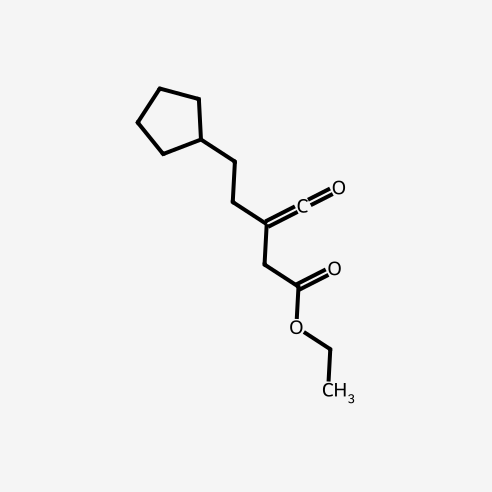 CCOC(=O)CC(=C=O)CCC1CCCC1